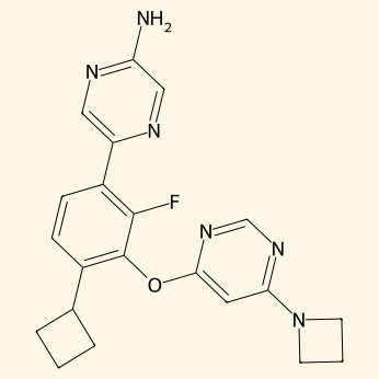 Nc1cnc(-c2ccc(C3CCC3)c(Oc3cc(N4CCC4)ncn3)c2F)cn1